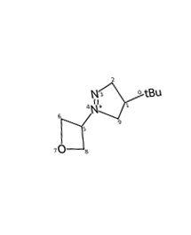 CC(C)(C)C1CN=[N+](C2COC2)C1